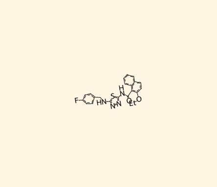 CCOc1ccc2ccccc2c1C(=O)Nc1nnc(NCc2ccc(F)cc2)s1